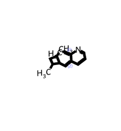 C/C=c1/nccc/c1=C/C1C(C)CC1C